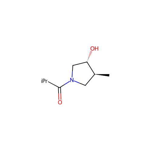 CC(C)C(=O)N1C[C@H](C)[C@@H](O)C1